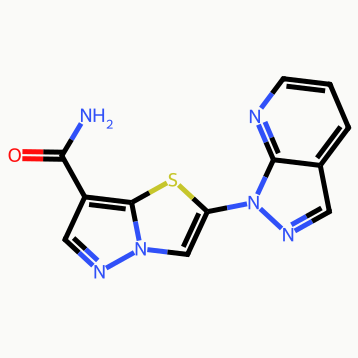 NC(=O)c1cnn2cc(-n3ncc4cccnc43)sc12